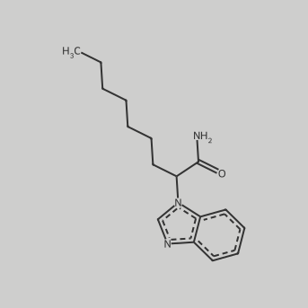 CCCCCCCC(C(N)=O)n1cnc2ccccc21